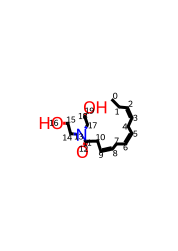 CC/C=C\C/C=C\C/C=C\CC(=O)N(CCO)CCO